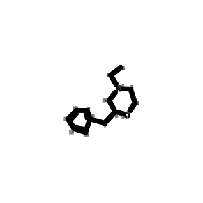 CCN1CCOC(Cc2ccccc2)C1